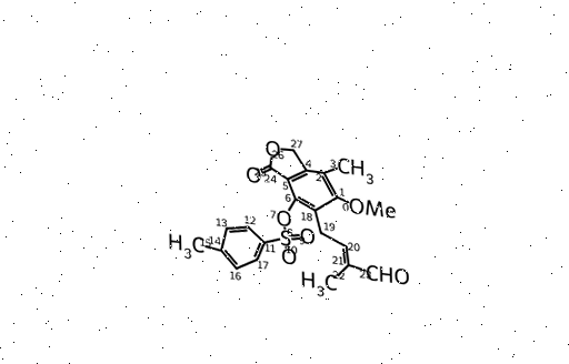 COc1c(C)c2c(c(OS(=O)(=O)c3ccc(C)cc3)c1CC=C(C)C=O)C(=O)OC2